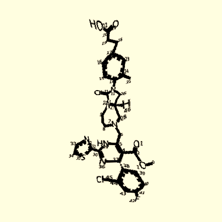 COC(=O)C1=C(CN2CCN3C(=O)N(c4ccc(CCC(=O)O)cc4C)C[C@@H]3C2)NC(c2nccs2)=N[C@H]1c1ccc(F)cc1Cl